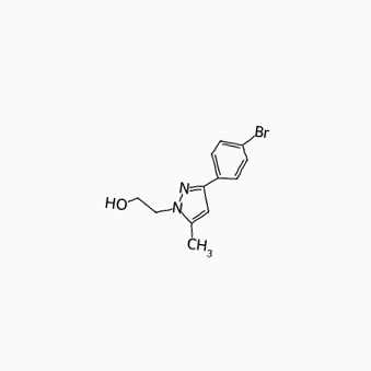 Cc1cc(-c2ccc(Br)cc2)nn1CCO